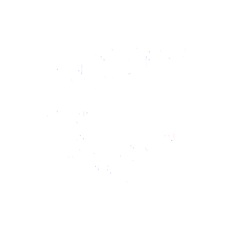 O=C(Nc1cccc(-c2cccc(NC(=O)c3cc4n(n3)CCCC4NCCO)c2Cl)c1Cl)c1ccc(CNCCO)cn1